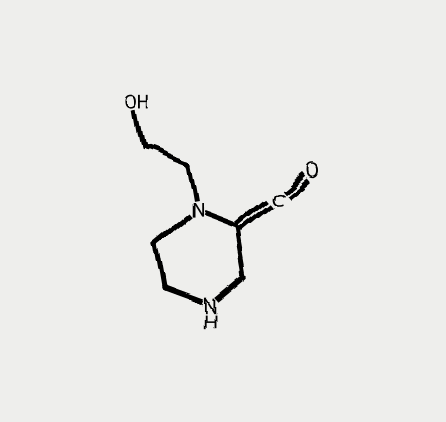 O=C=C1CNCCN1CCO